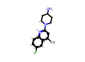 N#Cc1cc(N2CCC(N)CC2)nc2ccc(F)cc12